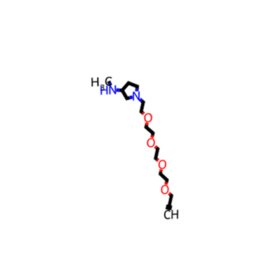 C#CCOCCOCCOCCOCCN1CCC(NC)C1